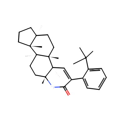 CC(C)(C)c1ccccc1C1=C[C@@]2(C)[C@@H](CC[C@H]3[C@@H]4CCC[C@@]4(C)CC[C@@H]32)NC1=O